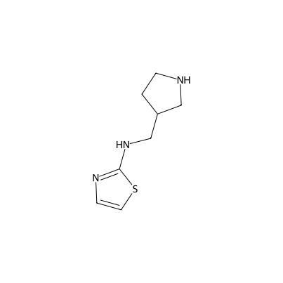 c1csc(NCC2CCNC2)n1